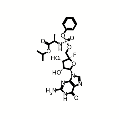 CC(C)OC(=O)[C@@H](C)N[P@](=O)(OC[C@@]1(F)O[C@@H](n2cnc3c(=O)[nH]c(N)nc32)[C@H](O)[C@@H]1O)Oc1ccccc1